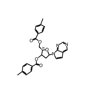 Cc1ccc(C(=O)OC[C@H]2OC(n3ccc4cncnc43)CC2OC(=O)c2ccc(C)cc2)cc1